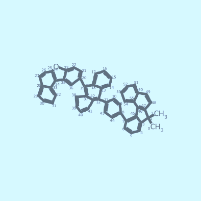 CC1(C)c2cccc(-c3ccc(-c4c5ccccc5c(-c5ccc6oc7ccc8ccccc8c7c6c5)c5ccccc45)cc3)c2-c2c1ccc1ccccc21